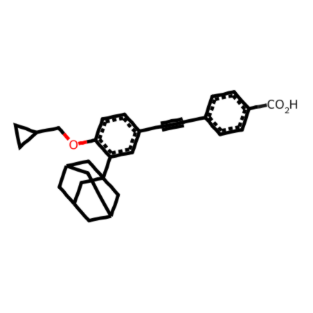 O=C(O)c1ccc(C#Cc2ccc(OCC3CC3)c(C34CC5CC(CC(C5)C3)C4)c2)cc1